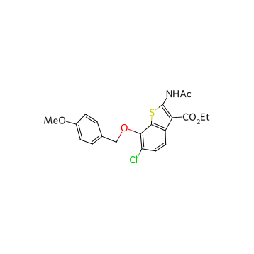 CCOC(=O)c1c(NC(C)=O)sc2c(OCc3ccc(OC)cc3)c(Cl)ccc12